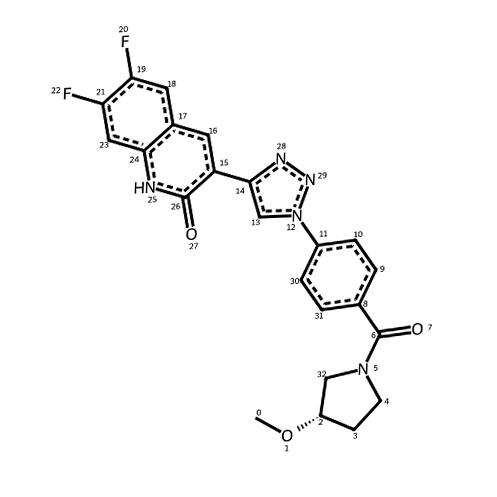 CO[C@H]1CCN(C(=O)c2ccc(-n3cc(-c4cc5cc(F)c(F)cc5[nH]c4=O)nn3)cc2)C1